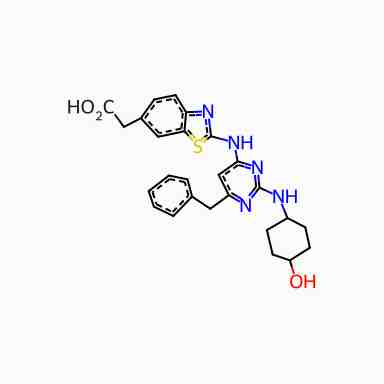 O=C(O)Cc1ccc2nc(Nc3cc(Cc4ccccc4)nc(NC4CCC(O)CC4)n3)sc2c1